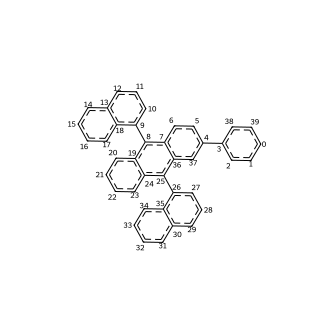 c1ccc(-c2ccc3c(-c4cccc5ccccc45)c4ccccc4c(-c4cccc5ccccc45)c3c2)cc1